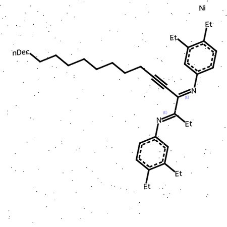 CCCCCCCCCCCCCCCCCCC#CC(=N\c1ccc(CC)c(CC)c1)/C(CC)=N/c1ccc(CC)c(CC)c1.[Ni]